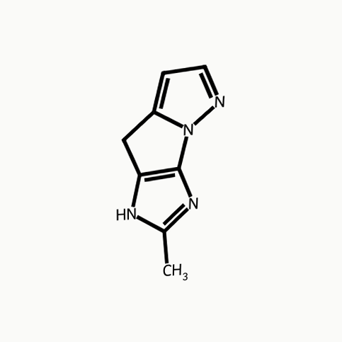 Cc1nc2c([nH]1)Cc1ccnn1-2